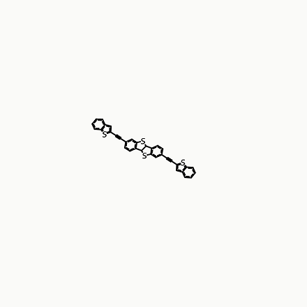 C(#Cc1cc2ccccc2s1)c1ccc2c(c1)SC1c3ccc(C#Cc4cc5ccccc5s4)cc3SC21